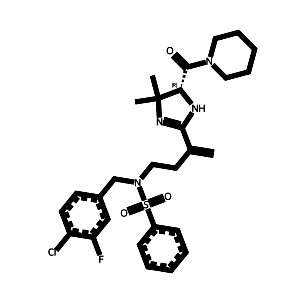 C=C(CCN(Cc1ccc(Cl)c(F)c1)S(=O)(=O)c1ccccc1)C1=NC(C)(C)[C@H](C(=O)N2CCCCC2)N1